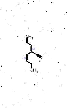 C=C/C=C(C#N)\C=C/CC